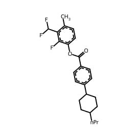 CCCC1CCC(c2ccc(C(=O)Oc3ccc(C)c(C(F)F)c3F)cc2)CC1